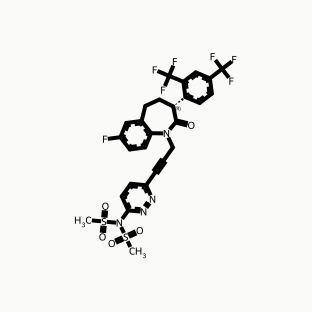 CS(=O)(=O)N(c1ccc(C#CCN2C(=O)[C@@H](c3ccc(C(F)(F)F)cc3C(F)(F)F)CCc3cc(F)ccc32)nn1)S(C)(=O)=O